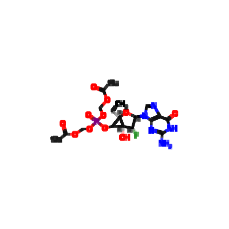 C=C[C@]12O[C@@H](n3cnc4c(=O)[nH]c(N)nc43)[C@H](F)[C@@]1(O)C2OP(=O)(OCOC(=O)C(C)(C)C)OCOC(=O)C(C)(C)C